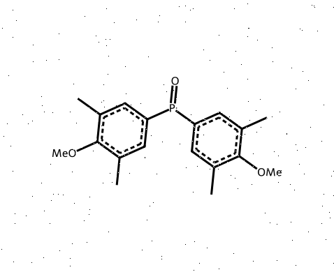 COc1c(C)cc([P](=O)c2cc(C)c(OC)c(C)c2)cc1C